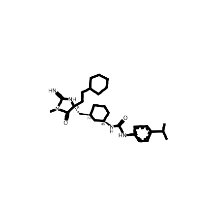 CC(C)c1ccc(NC(=O)N[C@@H]2CCC[C@H](C[C@@]3(CCC4CCCCC4)NC(=N)N(C)C3=O)C2)cc1